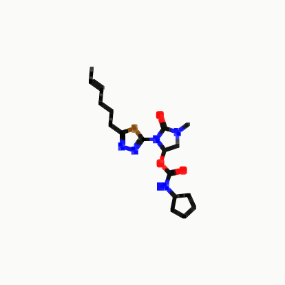 CC=CCCCc1nnc(N2C(=O)N(C)CC2OC(=O)NC2CCCC2)s1